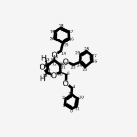 c1ccc(COC[C@H]2O[C@@H]3O[C@@H]3[C@@H](OCc3ccccc3)[C@@H]2OCc2ccccc2)cc1